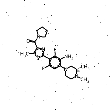 Cc1sc(-c2c(F)cc(N3CCN(C)[C@@H](C)C3)c(N)c2F)nc1C(=O)N1CCCC1